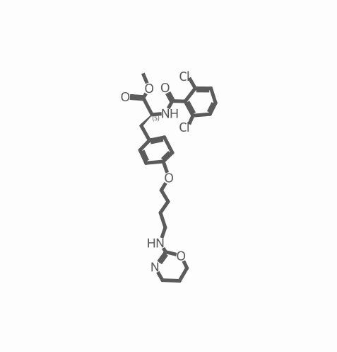 COC(=O)[C@H](Cc1ccc(OCCCCNC2=NCCCO2)cc1)NC(=O)c1c(Cl)cccc1Cl